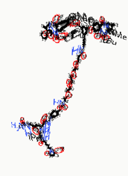 C=C1C[C@H]2C(OC3CCCCO3)N(C(=O)OC(C)(C)C)c3cc(OCc4cc(C#CCNC(=O)CCOCCOCCOCCOCCNC(=O)OCc5ccc(NC(=O)[C@H](CCCNC(N)=O)NC(=O)[C@@H](NC(=O)CCCCCN6C(=O)C=CC6=O)C(C)C)cc5)cc(COc5cc6c(cc5OC)C(=O)N5CC(=C)C[C@@]5(NC)CN6C(=O)OC(C)(C)C)c4)c(OC)cc3C(=O)N2C1